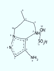 CC1CNc2c(N)cnn2C1.O=S(=O)(O)O